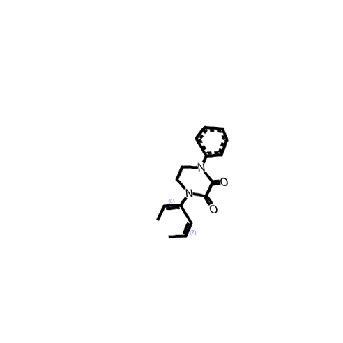 C/C=C\C(=C/C)N1CCN(c2ccccc2)C(=O)C1=O